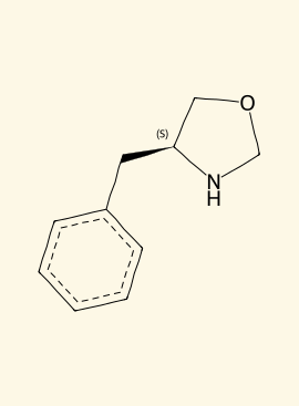 c1ccc(C[C@H]2COCN2)cc1